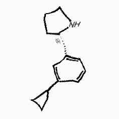 c1cc(C2CC2)cc([C@@H]2CCCN2)c1